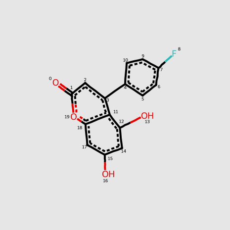 O=c1cc(-c2ccc(F)cc2)c2c(O)cc(O)cc2o1